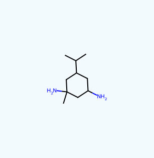 CC(C)C1CC(N)CC(C)(N)C1